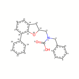 O=C(O)N(Cc1ccccc1)CC1Cc2cccc(-c3ccccc3)c2O1